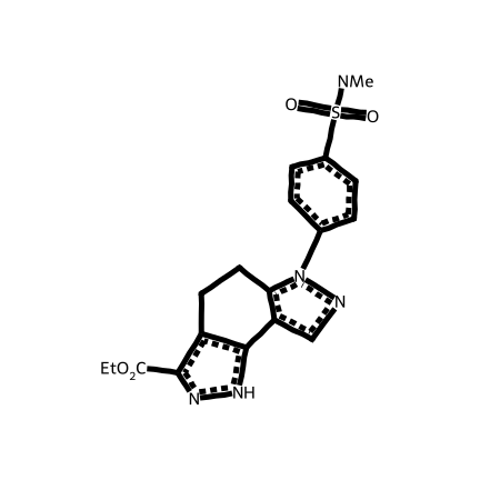 CCOC(=O)c1n[nH]c2c1CCc1c-2cnn1-c1ccc(S(=O)(=O)NC)cc1